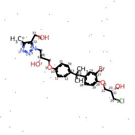 Cc1nnn(C[C@@H](O)COc2ccc(C(C)(C)c3ccc(OC[C@H](O)CCl)c(Br)c3)cc2)c1CO